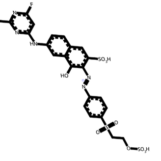 O=S(=O)(O)OCCS(=O)(=O)c1ccc(/N=N/c2c(S(=O)(=O)O)cc3ccc(Nc4cc(F)nc(F)n4)cc3c2O)cc1